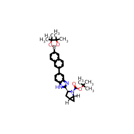 CC(C)(C)OC(=O)N1[C@@H]2C[C@@H]2C[C@H]1c1nc2cc(-c3ccc4cc(B5OC(C)(C)C(C)(C)O5)ccc4c3)ccc2[nH]1